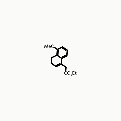 CCOC(=O)CC1=CCCc2c(OC)cccc21